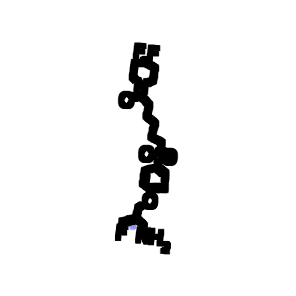 NC/C(=C\F)COc1ccc(S(=O)(=O)CCCCCC(=O)N2CCC(F)(F)CC2)cc1